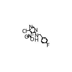 O=[N+]([O-])c1c(Cl)ncnc1NCc1ccc(F)cc1